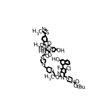 Cc1ncsc1-c1ccc([C@H](C)NC(=O)[C@@H]2C[C@@H](O)CN2C(=O)C(NC(=O)CN2CCN(CC3CCN(CC(C)Oc4nc(N5CCN(C(=O)OC(C)(C)C)CC5)c5cc(Cl)c(-c6cc(O)cc7ccccc67)c(F)c5n4)CC3)CC2)C(C)(C)C)cc1